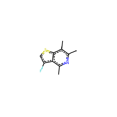 Cc1nc(C)c2c(F)csc2c1C